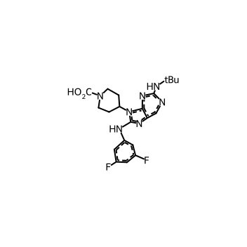 CC(C)(C)Nc1ncc2nc(Nc3cc(F)cc(F)c3)n(C3CCN(C(=O)O)CC3)c2n1